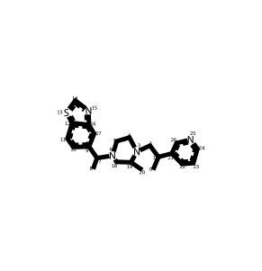 CC(CN1CCN(C(C)c2ccc3scnc3c2)CC1C)c1cccnc1